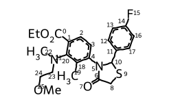 CCOC(=O)c1ccc(N2C(=O)CSC2c2ccc(F)cc2)c(C)c1N(C)CCOC